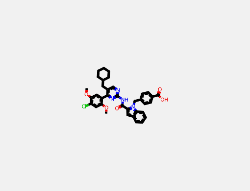 COc1cc(-c2nc(NC(=O)c3cc4ccccc4n3Cc3ccc(C(=O)O)cc3)ncc2CC2CCCCC2)c(OC)cc1Cl